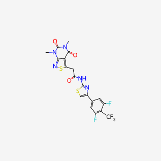 Cn1c(=O)c2c(CC(=O)Nc3nc(-c4cc(F)c(C(F)(F)F)c(F)c4)cs3)snc2n(C)c1=O